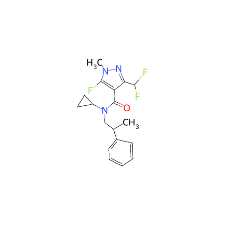 CC(CN(C(=O)c1c(C(F)F)nn(C)c1F)C1CC1)c1ccccc1